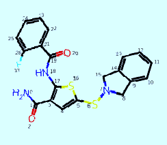 NC(=O)c1cc(SN2Cc3ccccc3C2)sc1NC(=O)c1ccccc1F